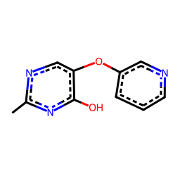 Cc1ncc(Oc2cccnc2)c(O)n1